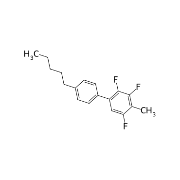 CCCCCc1ccc(-c2cc(F)c(C)c(F)c2F)cc1